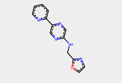 c1ccc(-c2cnc(NCc3ncco3)cn2)nc1